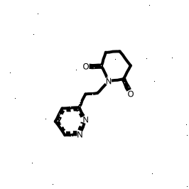 O=C1CCCC(=O)N1CCc1cccnn1